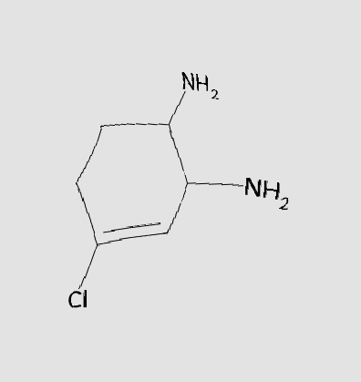 NC1C=C(Cl)CCC1N